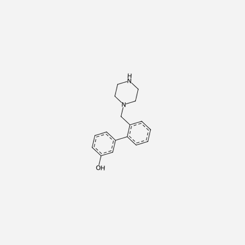 Oc1cccc(-c2ccccc2CN2CCNCC2)c1